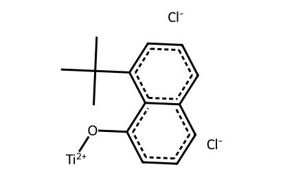 CC(C)(C)c1cccc2cccc([O][Ti+2])c12.[Cl-].[Cl-]